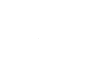 CCN1CCN(C(=O)CC(C)(C)C)Cc2ccc(NC(=O)OC(C)(C)C)cc21